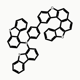 c1ccc2c(c1)oc1ccc3ccc4oc5ccc(-c6ccc(N(c7cccc8c7sc7ccccc78)c7cccc8sc9ccccc9c78)cc6)cc5c4c3c12